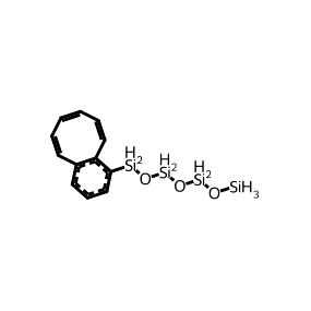 [SiH3]O[SiH2]O[SiH2]O[SiH2]c1cccc2c1C=CC=CC=C2